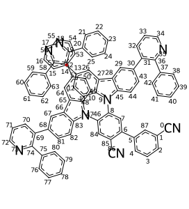 N#Cc1cccc(-c2cc(-n3c4ccc(-c5cccnc5-c5ccccc5)cc4c4cc(-c5cccnc5-c5ccccc5)ccc43)c(-n3c4ccc(-c5cccnc5-c5ccccc5)cc4c4cc(-c5cccnc5-c5ccccc5)ccc43)cc2C#N)c1